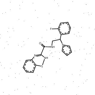 O=C(NCC(c1ccccc1F)n1cccc1)C1=Nc2ccccc2SN1